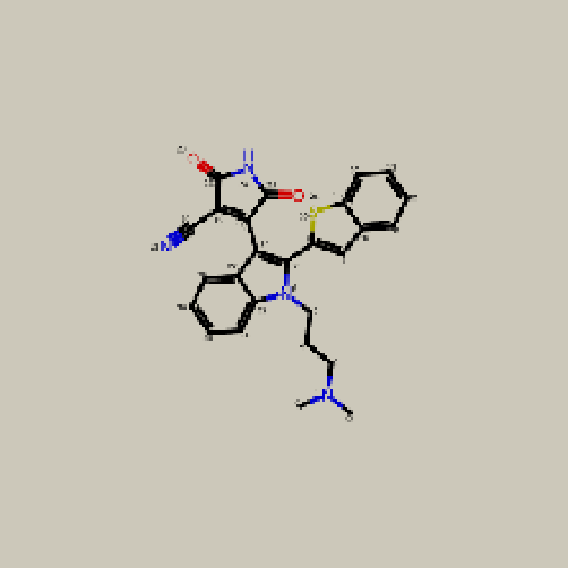 CN(C)CCCn1c(-c2cc3ccccc3s2)c(C2=C(C#N)C(=O)NC2=O)c2ccccc21